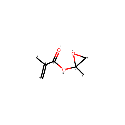 C=C(C)C(=O)OC1(C)CO1